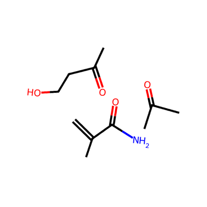 C=C(C)C(N)=O.CC(=O)CCO.CC(C)=O